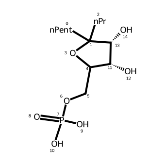 CCCCCC1(CCC)OC(COP(=O)(O)O)[C@@H](O)[C@H]1O